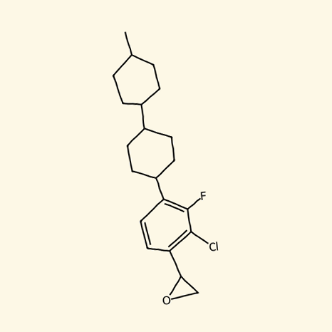 CC1CCC(C2CCC(c3ccc(C4CO4)c(Cl)c3F)CC2)CC1